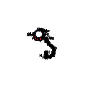 CO[C@H]1C[C@@H]2CC[C@@H](C)[C@@](O)(O2)C(=O)C(=O)N2CCCC[C@H]2C(=O)O[C@H]([C@H](C)C[C@@H]2CC[C@@H](OC(=O)N3CCc4nc(N5CCN(c6ncc(C(=O)N7CCN(c8ncc(C(=O)N9CCc%10cc(Cn%11nc(-c%12cnc%13[nH]ccc%13c%12)c%12c(N)ncnc%12%11)ccc%10C9)cn8)CC7)cn6)CC5)ncc4C3)[C@H](OC)C2)CC(=O)[C@H](C)/C=C(\C)[C@@H](O)[C@@H](OC)C(=O)[C@H](C)C[C@H](C)/C=C/C=C/C=C/1C